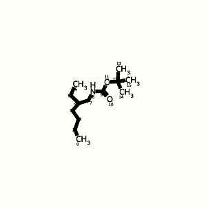 CCCCC(CC)CNC(=O)OC(C)(C)C